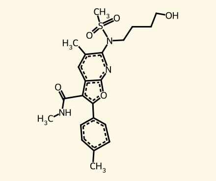 CNC(=O)c1c(-c2ccc(C)cc2)oc2nc(N(CCCCO)S(C)(=O)=O)c(C)cc12